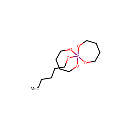 COCCCCOP12(OCCCCO1)OCCCCO2